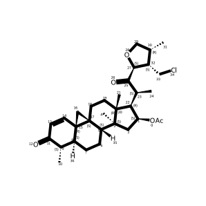 CC(=O)O[C@H]1C[C@@]2(C)[C@@H]3CC[C@H]4[C@H](C)C(=O)C=C[C@@]45C[C@@]35CC[C@]2(C)[C@H]1[C@H](C)C(=O)[C@H]1OC[C@H](C)[C@@H]1CCl